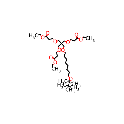 CCOC(=O)CCOCC(COCCCCCCCCO[Si](C)(C)C(C)(C)C)(COCCC(=O)OCC)COCCC(=O)OCC